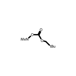 CNOC(=O)OCC(C)(C)C